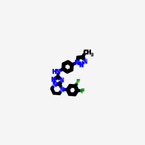 Cc1cn(-c2ccc(Nc3nc4n(n3)CCCN4c3ccc(F)c(F)c3)cc2)nn1